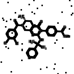 CNC(=O)c1ccc(-n2c(NC(C)(C)c3ccncc3)nc3c(c2=O)C[C@@H](C)N(C(=O)c2ccc(Cl)c(Cl)c2)C3)cc1